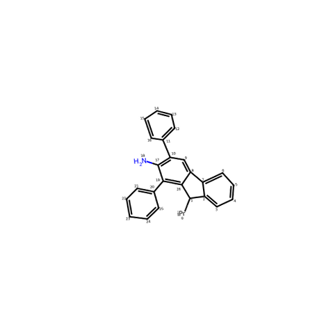 CC(C)C1c2ccccc2-c2cc(-c3ccccc3)c(N)c(-c3ccccc3)c21